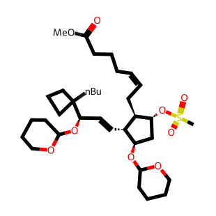 CCCCC1([C@@H](/C=C/[C@@H]2[C@@H](C/C=C\CCCC(=O)OC)[C@H](OS(C)(=O)=O)C[C@H]2OC2CCCCO2)OC2CCCCO2)CCC1